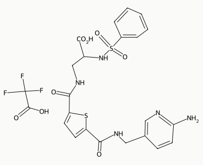 Nc1ccc(CNC(=O)c2ccc(C(=O)NCC(NS(=O)(=O)c3ccccc3)C(=O)O)s2)cn1.O=C(O)C(F)(F)F